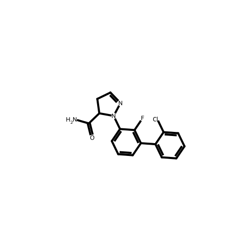 NC(=O)C1CC=NN1c1cccc(-c2ccccc2Cl)c1F